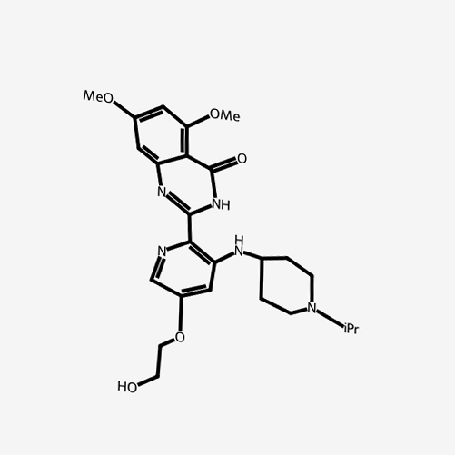 COc1cc(OC)c2c(=O)[nH]c(-c3ncc(OCCO)cc3NC3CCN(C(C)C)CC3)nc2c1